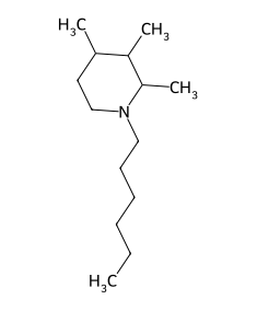 CCCCCCN1CCC(C)C(C)C1C